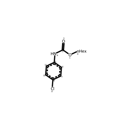 CCCCCCOC(=O)Nc1ccc(Cl)cc1